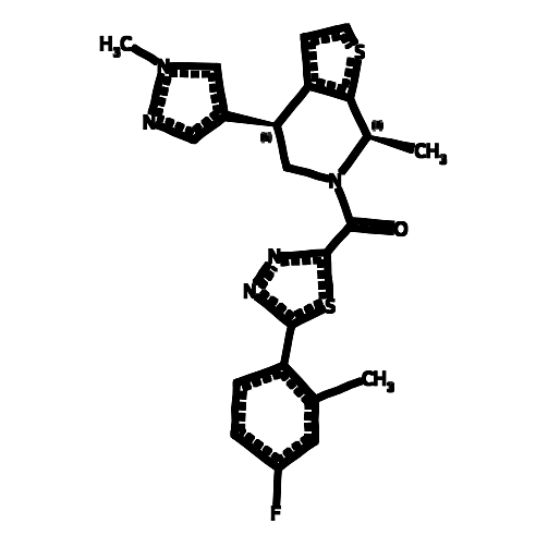 Cc1cc(F)ccc1-c1nnc(C(=O)N2C[C@@H](c3cnn(C)c3)c3ccsc3[C@H]2C)s1